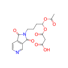 CC(=O)OC(CCCN1C(=O)c2ccncc2C1=O)OC(=O)CC(=O)O